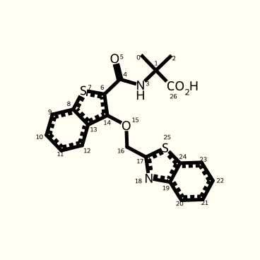 CC(C)(NC(=O)c1sc2ccccc2c1OCc1nc2ccccc2s1)C(=O)O